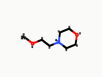 CC(C)OCCN1CCOCC1